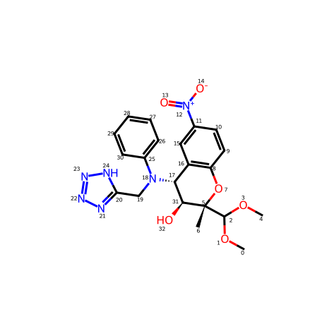 COC(OC)[C@@]1(C)Oc2ccc([N+](=O)[O-])cc2[C@@H](N(Cc2nnn[nH]2)c2ccccc2)[C@@H]1O